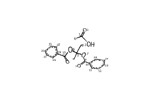 CC(=O)O.CC(C)(OC(=O)c1ccccc1)OC(=O)c1ccccc1